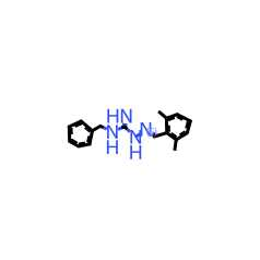 Cc1cccc(C)c1/C=N/NC(=N)NCc1ccccc1